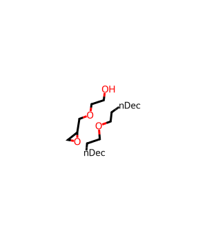 CCCCCCCCCCCCOCCCCCCCCCCCC.OCCOCC1CO1